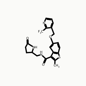 Cc1sc2ccc(OCc3cccnc3C(F)(F)F)cc2c1C(=O)NCC1CCC(=O)N1